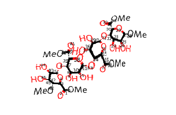 COC(=O)C1O[C@@H](O[C@H]2C(O)C(O)[C@@H](O[C@H]3C(C(=O)OC)O[C@@H](O[C@H]4C(O)C(O)[C@@H](OC)O[C@H]4C(=O)OC)C(O)[C@@H]3O)O[C@H]2C(=O)OC)C(O)[C@H](O)[C@H]1OC